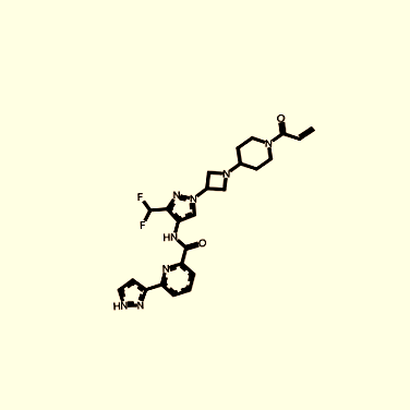 C=CC(=O)N1CCC(N2CC(n3cc(NC(=O)c4cccc(-c5cc[nH]n5)n4)c(C(F)F)n3)C2)CC1